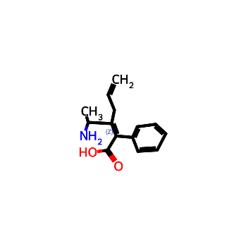 C=CC/C(=C(/C(=O)O)c1ccccc1)C(C)N